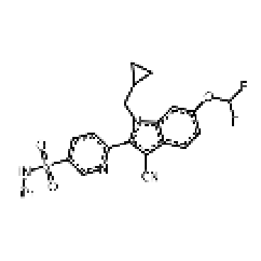 CC(C)NS(=O)(=O)c1ccc(-c2c(C#N)c3ccc(OC(F)F)cc3n2CC2CC2)nc1